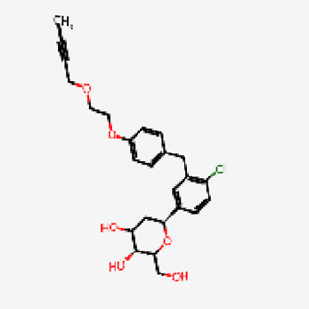 CC#CCOCCOc1ccc(Cc2cc([C@@H]3CC(O)[C@H](O)C(CO)O3)ccc2Cl)cc1